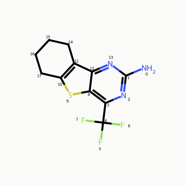 Nc1nc(C(F)(F)F)c2sc3c(c2n1)CCCC3